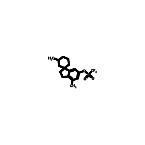 Cc1cc(OS(=O)(=O)C(F)(F)F)cc2c1CCC21CCCC(C)C1